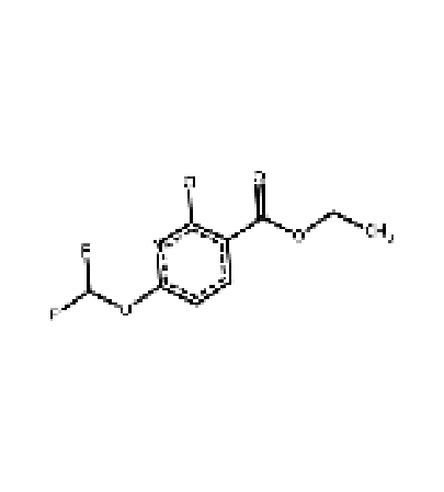 CCOC(=O)c1ccc(OC(F)F)nc1Cl